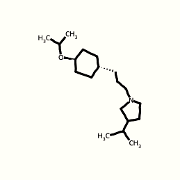 CC(C)O[C@H]1CC[C@H](CCCN2CCC(C(C)C)C2)CC1